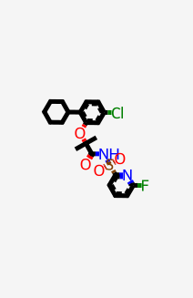 CC(C)(Oc1cc(Cl)ccc1C1CCCCC1)C(=O)NS(=O)(=O)c1cccc(F)n1